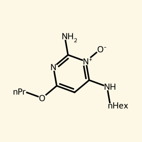 CCCCCCNc1cc(OCCC)nc(N)[n+]1[O-]